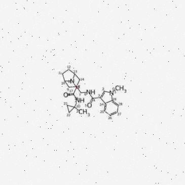 Cn1cc(C(=O)NCC2CC3CCC(C2)N3CC(=O)NC2(C)CC2)c2ccccc21